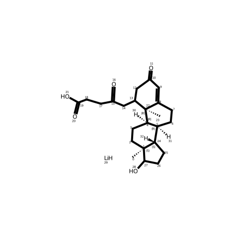 C[C@]12CC[C@@H]3[C@@H](CCC4=CC(=O)CC(CC(=O)CCC(=O)O)[C@@]43C)[C@@H]1CCC2O.[LiH]